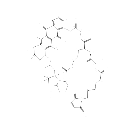 CO[C@H]1OCCN2[C@@H]1O[C@@H]1[C@H](C)O[C@@H](O[C@H]3C[C@](O)(C(C)=O)Cc4c(O)c5c(c(O)c43)C(=O)c3c(NC(=O)[C@H](C)NC(=O)[C@H](CCCNC(N)=O)NC(=O)[C@@H](NC(=O)CCCCCN4C(=O)C=CC4=O)C(C)C)cccc3C5=O)C[C@@H]12